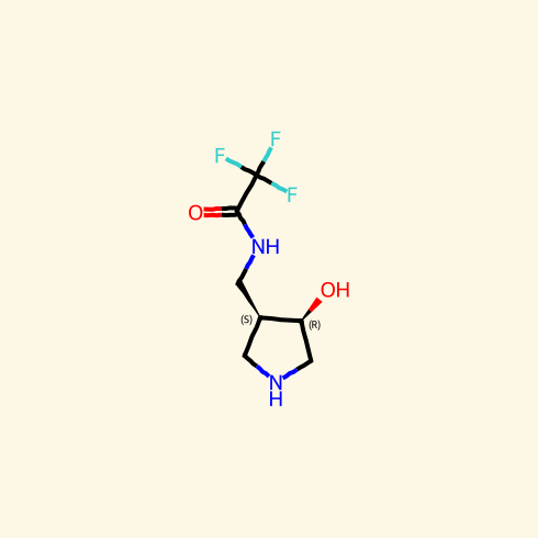 O=C(NC[C@@H]1CNC[C@@H]1O)C(F)(F)F